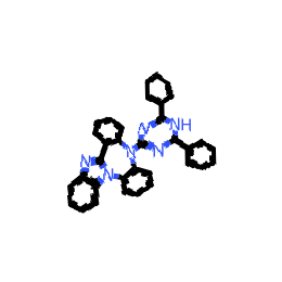 C1=CC(C2=NC(N3c4ccccc4-c4nc5ccccc5n4-c4ccccc43)=NC(c3ccccc3)N2)=CCC1